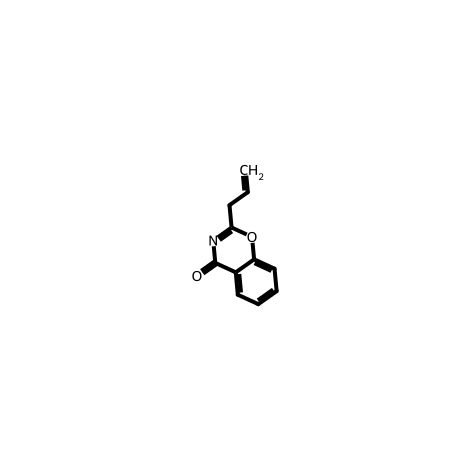 C=CCc1nc(=O)c2ccccc2o1